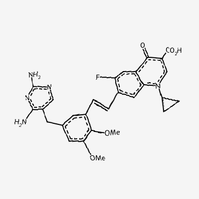 COc1cc(Cc2cnc(N)nc2N)cc(/C=C/c2cc3c(cc2F)c(=O)c(C(=O)O)cn3C2CC2)c1OC